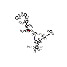 Cc1c(-c2ccc(N3CCc4cccc(CNc5nc6ccccc6s5)c4C3)nc2C(=O)O)cnn1CC12CC3CC(C)(C1)CC(OCCN(CCC(=O)O)C(=O)OC/C=C/c1ccc(O[C@@H]4O[C@H](C(=O)O)[C@@H](O)[C@H](O)[C@H]4O)c(NC(=O)CCNC(=O)CCCCCN4C(=O)C=CC4=O)c1)(C3)C2